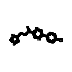 CN(CCc1cs[c]n1)c1cnc(-c2ccc(Cl)cc2)cn1